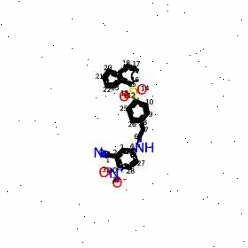 N#Cc1cc(NCCc2ccc(S(=O)(=O)c3cccc4ccccc34)cc2)ccc1[N+](=O)[O-]